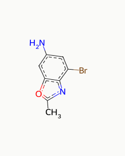 Cc1nc2c(Br)cc(N)cc2o1